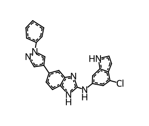 Clc1cc(Nc2nc3cc(-c4cnn(-c5ccccc5)c4)ccc3[nH]2)cc2[nH]ccc12